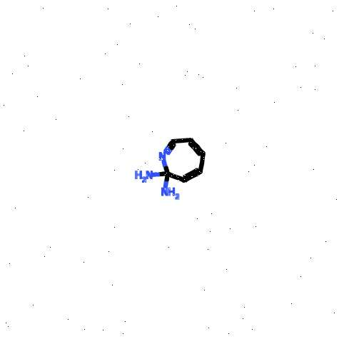 NC1(N)C=CC=CC=N1